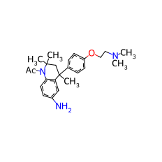 CC(=O)N1c2ccc(N)cc2C(C)(c2ccc(OCCN(C)C)cc2)CC1(C)C